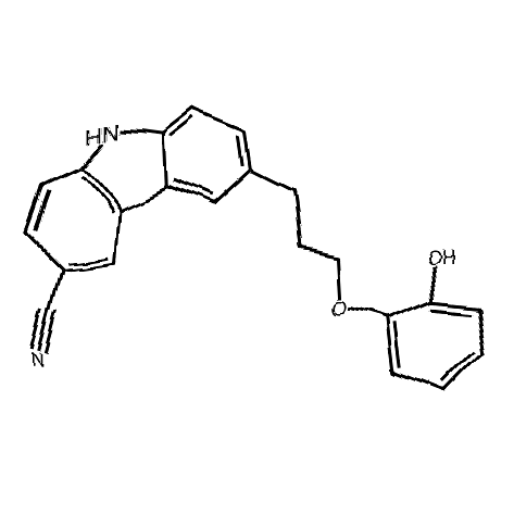 N#Cc1ccc2[nH]c3ccc(CCCOc4ccccc4O)cc3c2c1